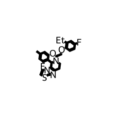 CCc1cc(F)ccc1OCC(=O)N1CCc2nc3sccn3c2C1c1ccc(C)cc1F